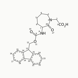 O=C(O)CN1CCCCC(NC(=O)OCC2c3ccccc3-c3ccccc32)C1=O